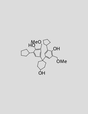 COCc1cc(C2(c3cc(COC)c(O)c(C4CCCC4)c3)CCC(O)CC2)cc(C2CCCC2)c1O